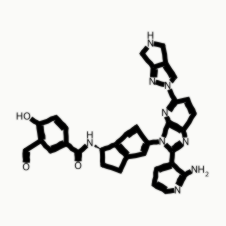 Nc1ncccc1-c1nc2ccc(-n3cc4c(n3)CNC4)nc2n1-c1ccc2c(c1)CC[C@@H]2NC(=O)c1ccc(O)c(C=O)c1